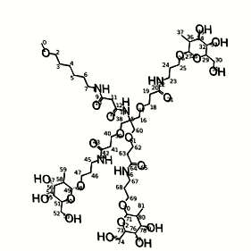 COCCCCCCNC(=O)CC(=O)NC(COCCC(=O)NCCCO[C@@H]1OC(CO)[C@H](O)[C@H](O)C1C)(COCCC(=O)NCCCO[C@@H]1OC(CO)[C@H](O)[C@H](O)C1C)COCCC(=O)NCCCO[C@@H]1OC(CO)[C@H](O)[C@H](O)C1C